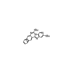 CC(C)(C)c1cc2nc3c4cc5c6ccc(o6)c5cc4nc(C(C)(C)C)n3c2cn1